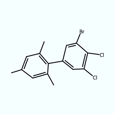 Cc1cc(C)c(-c2cc(Cl)c(Cl)c(Br)c2)c(C)c1